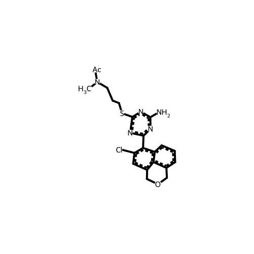 CC(=O)N(C)CCCSc1nc(N)nc(-c2c(Cl)cc3c4c(cccc24)COC3)n1